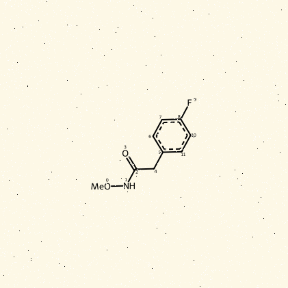 CONC(=O)Cc1ccc(F)cc1